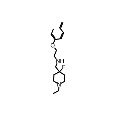 C=C/C=C\C(=C/C)OCCNCC1(F)CCN(CC)CC1